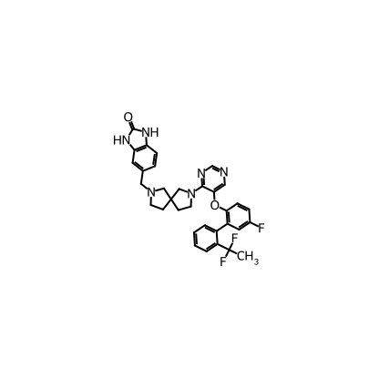 CC(F)(F)c1ccccc1-c1cc(F)ccc1Oc1cncnc1N1CCC2(CCN(Cc3ccc4[nH]c(=O)[nH]c4c3)C2)C1